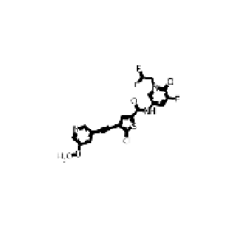 COc1cncc(C#Cc2cc(C(=O)Nc3cc(F)c(=O)n(CC(F)F)c3)sc2Cl)c1